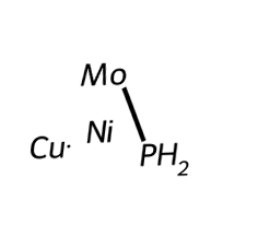 [Cu].[Ni].[PH2][Mo]